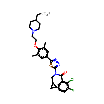 Cc1cc(-c2nnc(N(CC3CC3)C(=O)c3cccc(F)c3Cl)s2)cc(C)c1OCCN1CCC(CC(=O)O)CC1